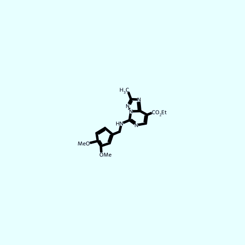 CCOC(=O)c1cnc(NCc2ccc(OC)c(OC)c2)n2nc(C)nc12